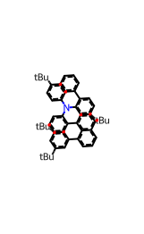 CC(C)(C)c1ccc(N(c2cc(C(C)(C)C)ccc2-c2ccccc2)c2ccccc2-c2cccc3cccc(-c4cc(C(C)(C)C)cc(C(C)(C)C)c4)c23)cc1